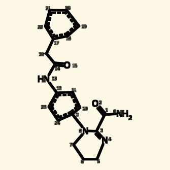 NC(=O)C1=NCCCN1c1ccc(NC(=O)[CH]c2ccccc2)cc1